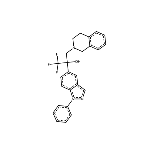 OC(CN1CCc2ccccc2C1)(c1ccc2c(cnn2-c2ccccc2)c1)C(F)(F)F